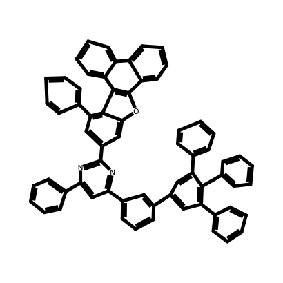 c1ccc(-c2cc(-c3cccc(-c4cc(-c5ccccc5)c(-c5ccccc5)c(-c5ccccc5)c4)c3)nc(-c3cc(-c4ccccc4)c4c(c3)oc3c5ccccc5c5ccccc5c34)n2)cc1